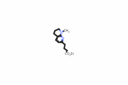 CCOC(=O)CCCc1ccc2c(n1)N(C)CCC2